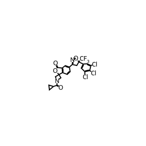 O=C1OC2(CN(C(=O)C3CC3)C2)c2ccc(C3=NOC(c4cc(Cl)c(Cl)c(Cl)c4)(C(F)(F)F)C3)cc21